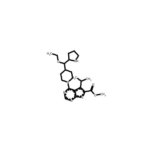 CCOC(C1CCN(c2ncnc3sc(C(=O)OC)c(C(C)C)c23)CC1)C1CCCN1